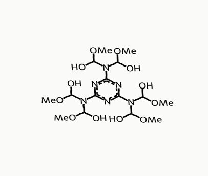 COC(O)N(c1nc(N(C(O)OC)C(O)OC)nc(N(C(O)OC)C(O)OC)n1)C(O)OC